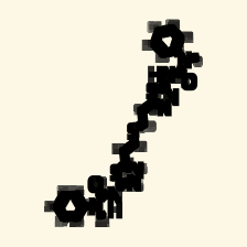 CN(C(=O)Nc1nnc(CCSCCc2nnc(NC(=O)N(C)c3ccccc3)s2)s1)c1ccccc1